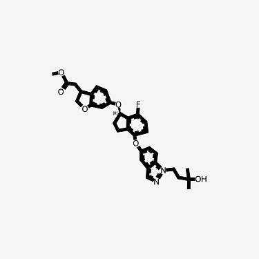 COC(=O)CC1COc2cc(O[C@@H]3CCc4c(Oc5ccc6c(cnn6CCC(C)(C)O)c5)ccc(F)c43)ccc21